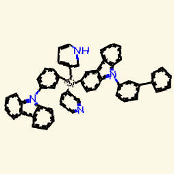 C1=CNCC([Si@](c2cccnc2)(c2cccc(-n3c4ccccc4c4ccccc43)c2)c2ccc3c(c2)c2ccccc2n3-c2cccc(-c3ccccc3)c2)=C1